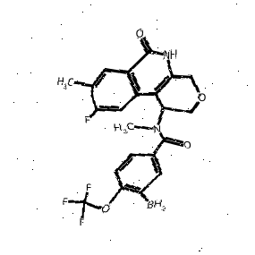 Bc1cc(C(=O)N(C)C2COCc3[nH]c(=O)c4cc(C)c(F)cc4c32)ccc1OC(F)(F)F